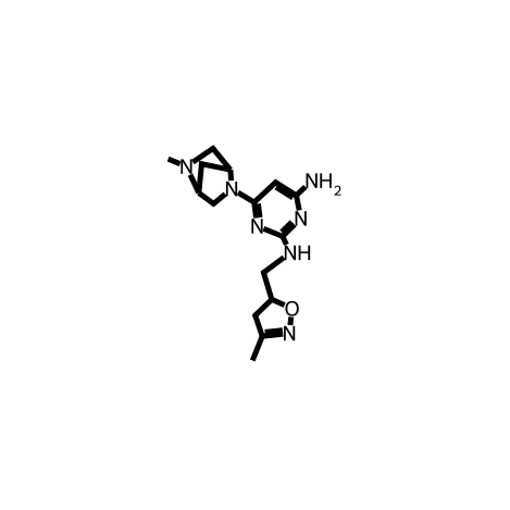 CC1=NOC(CNc2nc(N)cc(N3CC4CC3CN4C)n2)C1